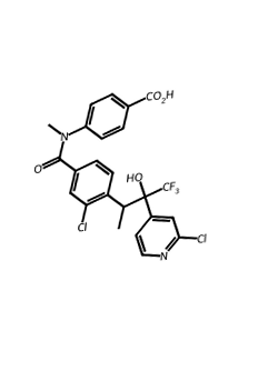 CC(c1ccc(C(=O)N(C)c2ccc(C(=O)O)cc2)cc1Cl)C(O)(c1ccnc(Cl)c1)C(F)(F)F